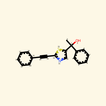 CC(O)(c1ccccc1)c1cnc(C#Cc2ccccc2)s1